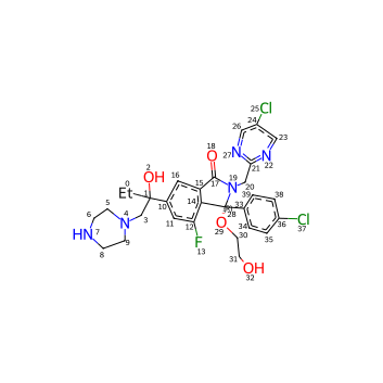 CCC(O)(CN1CCNCC1)c1cc(F)c2c(c1)C(=O)N(Cc1ncc(Cl)cn1)[C@@]2(OCCO)c1ccc(Cl)cc1